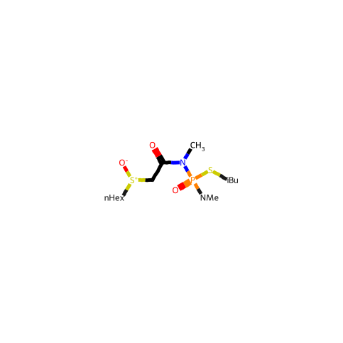 CCCCCC[S+]([O-])CC(=O)N(C)P(=O)(NC)SC(C)CC